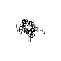 CNC(=O)c1ccccc1Nc1nc(Nc2cc(-c3cnn(C)c3)c(C3CNCCO3)cc2OC)ncc1Br